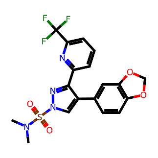 CN(C)S(=O)(=O)n1cc(-c2ccc3c(c2)OCO3)c(-c2cccc(C(F)(F)F)n2)n1